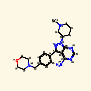 N#CN1CCC[C@@H](n2nc(-c3ccc(CN4CCOCC4)cc3)c3c(N)ncnc32)C1